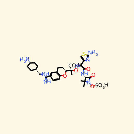 CC1(C)[C@H](NC(=O)/C(=N\O[C@](C)(C(=O)O)[C@H]2CCc3cc(C(=N)NC[C@H]4CC[C@@H](N)CC4)ccc3O2)c2csc(N)n2)C(=O)N1OS(=O)(=O)O